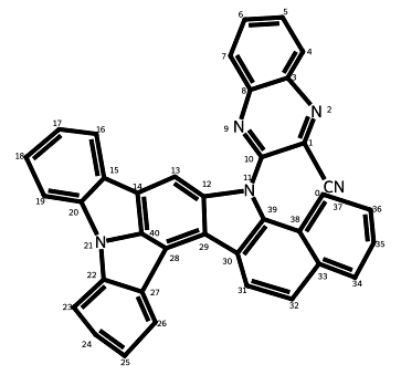 N#Cc1nc2ccccc2nc1-n1c2cc3c4ccccc4n4c5ccccc5c(c2c2ccc5ccccc5c21)c34